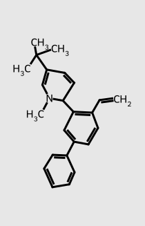 C=Cc1ccc(-c2ccccc2)cc1C1C=CC(C(C)(C)C)=CN1C